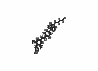 CCCCC[C@H]1CO[C@H](C2CCC(CCc3cc(F)c(COC)c(F)c3)CC2)OC1